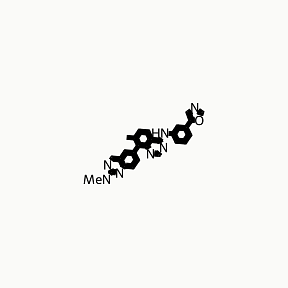 CNc1ncc2cc(-c3c(C)ccc4c(Nc5cccc(-c6cnco6)c5)ncnc34)ccc2n1